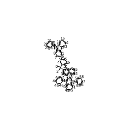 CC1(C)c2cc(-c3ccc4c(c3)c3ccccc3n4-c3ccccc3)ccc2-c2c1cc1c3c(cccc23)-c2c-1c(-c1ccccc1)c1ccccc1c2-c1ccccc1